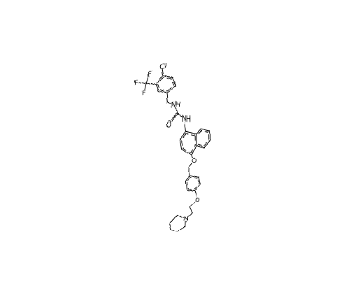 O=C(NCc1ccc(Cl)c(C(F)(F)F)c1)Nc1ccc(OCc2ccc(OCCN3CCCCC3)cc2)c2ccccc12